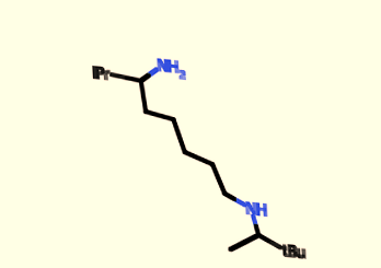 CC(C)C(N)CCCCCNC(C)C(C)(C)C